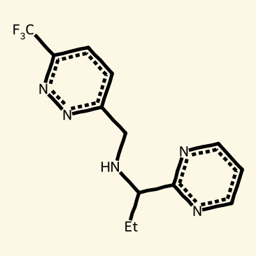 CCC(NCc1ccc(C(F)(F)F)nn1)c1ncccn1